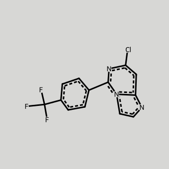 FC(F)(F)c1ccc(-c2nc(Cl)cc3nccn23)cc1